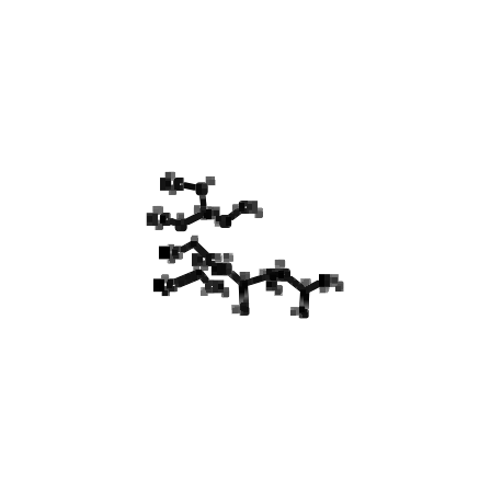 C=CC.CCC.CO[SiH](OC)OC.NC(O)=S.NC(O)=S